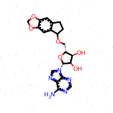 Nc1ncnc2c1ncn2[C@@H]1O[C@H](COC2CCc3cc4c(cc32)OCO4)[C@@H](O)[C@H]1O